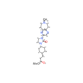 COC(=O)CC[C@H]1CC[C@H](N2CCN(c3cnc4c(n3)CCN(C)CC4)C2=O)CC1